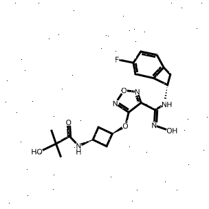 CC(C)(O)C(=O)N[C@H]1C[C@@H](Oc2nonc2/C(=N/O)N[C@H]2Cc3ccc(F)cc32)C1